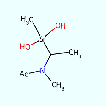 CC(=O)N(C)C(C)[Si](C)(O)O